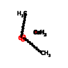 CCCCCCCCCCCCCCCCCC(=O)OC(=O)CCCCCCCCCCCCCCCCC.[BaH2].[CaH2]